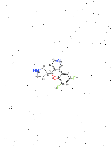 Fc1ccc(O[C@H](c2ccncc2)C2CCNC2)c(F)c1